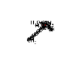 CCCCOC(=O)C(C)(CC(C)(C)C(=O)OCCSSc1ccccn1)CC(C)(CC)C(=O)OCCOCCOCCOCCOCCOCCOC